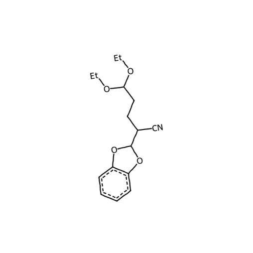 CCOC(CCC(C#N)C1Oc2ccccc2O1)OCC